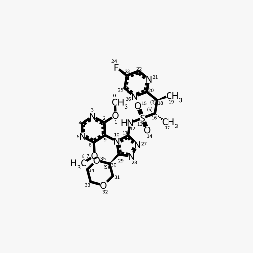 COc1ncnc(OC)c1-n1c(NS(=O)(=O)[C@@H](C)[C@H](C)c2ncc(F)cn2)nnc1[C@H]1COCCO1